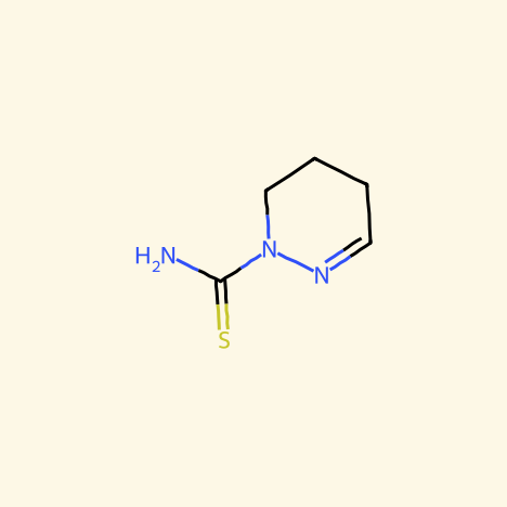 NC(=S)N1CCCC=N1